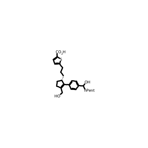 CCCCCC(O)c1ccc(C2=C(CO)CC[C@@H]2CCCc2ccc(C(=O)O)s2)cc1